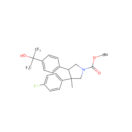 CC(C)(C)OC(=O)N1CC(c2ccc(C(O)(C(F)(F)F)C(F)(F)F)cc2)C(C)(c2ccc(F)cc2)C1